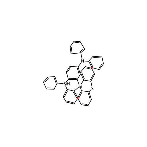 c1ccc(N(c2ccccc2)c2ccc3c(c2)[Si]2(c4ccccc4Sc4ccccc42)c2ccccc2[SiH]3c2ccccc2)cc1